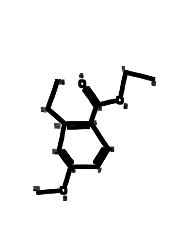 CCOC(=O)c1ccc(OC)cc1CC